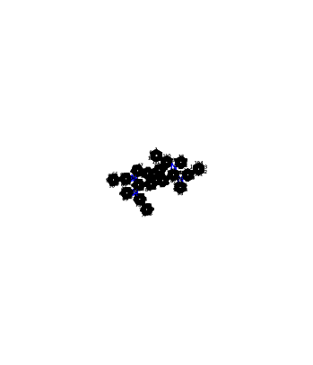 C1=CCC(c2ccc(N(c3ccccc3)c3cc(-c4ccc5c(c4)C4(c6ccccc6-c6ccccc64)c4cc(-c6cc(N(c7ccccc7)c7ccc(-c8ccccc8)cc7)cc(N(c7ccccc7)c7ccc(-c8ccccc8)cc7)c6)ccc4-5)cc(N(c4ccccc4)c4ccc(-c5ccccc5)cc4)c3)cc2)C=C1